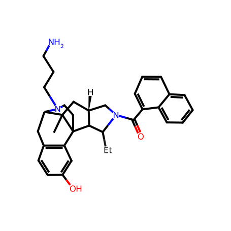 CCC1C2[C@@H](CN1C(=O)c1cccc3ccccc13)CC1(C)C3Cc4ccc(O)cc4C21CCN3CCCN